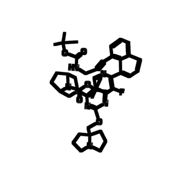 CC(C)(C)OC(=O)NCC#Cc1cccc2cccc(-c3ncc4c(N5CC6CCC(C5)N6C(=O)OC(C)(C)C)nc(OCC56CCCN5CCC6)nc4c3F)c12